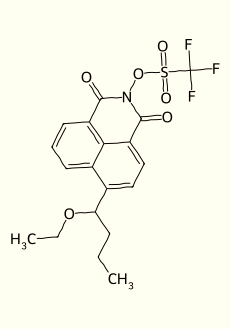 CCCC(OCC)c1ccc2c3c(cccc13)C(=O)N(OS(=O)(=O)C(F)(F)F)C2=O